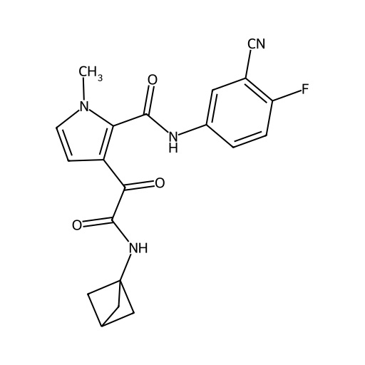 Cn1ccc(C(=O)C(=O)NC23CC(C2)C3)c1C(=O)Nc1ccc(F)c(C#N)c1